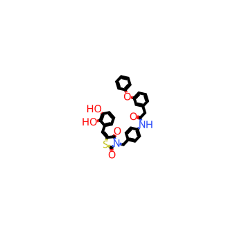 O=C(Cc1cccc(Oc2ccccc2)c1)Nc1ccc(CN2C(=O)SC(=Cc3cccc(O)c3O)C2=O)cc1